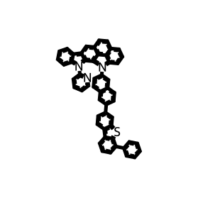 c1ccc(-c2cccc3c2sc2cc(-c4ccc5cc(-n6c7cccc8ccc9cc%10c%11ccccc%11n(-c%11ccccn%11)c%10c6c9c87)ccc5c4)ccc23)cc1